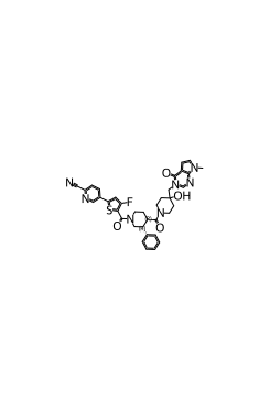 Cn1ccc2c(=O)n(CC3(O)CCN(C(=O)[C@@H]4CCN(C(=O)c5sc(-c6ccc(C#N)nc6)cc5F)C[C@H]4c4ccccc4)CC3)cnc21